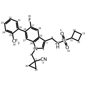 N#CC1(Cn2cc(CNS(=O)(=O)C3CCC3)c3cc(F)c(-c4ccccc4C(F)(F)F)cc32)CC1